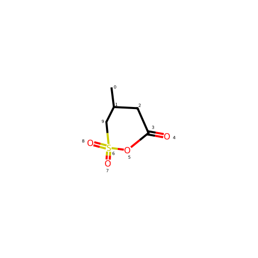 CC1CC(=O)OS(=O)(=O)C1